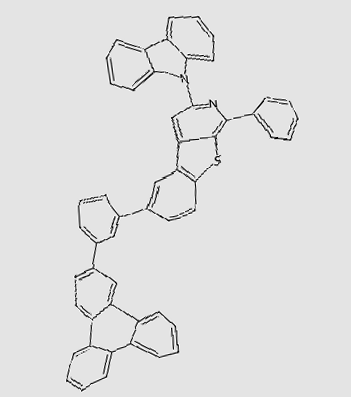 c1ccc(-c2nc(-n3c4ccccc4c4ccccc43)cc3c2sc2ccc(-c4cccc(-c5ccc6c7ccccc7c7ccccc7c6c5)c4)cc23)cc1